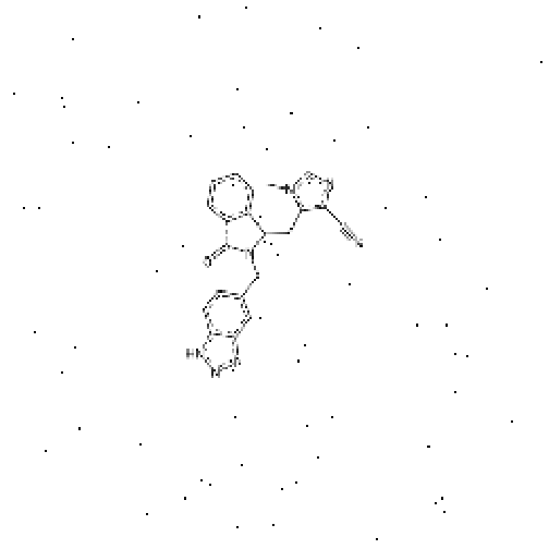 Cn1cnc(C#N)c1CC1c2ccccc2C(=O)N1Cc1ccc2[nH]nnc2c1